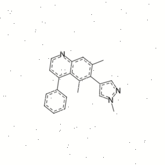 Cc1cc2nccc(-c3ccccc3)c2c(C)c1-c1cnn(C)c1